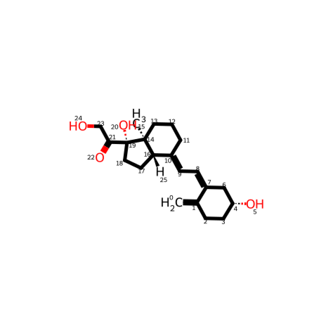 C=C1CC[C@@H](O)C/C1=C/C=C1\CCC[C@@]2(C)[C@H]1CC[C@@]2(O)C(=O)CO